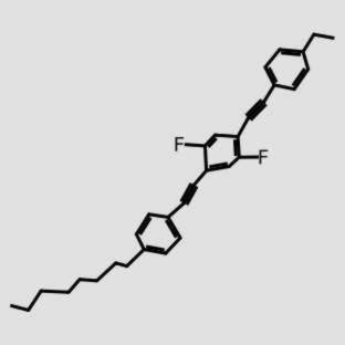 CCCCCCCCc1ccc(C#Cc2cc(F)c(C#Cc3ccc(CC)cc3)cc2F)cc1